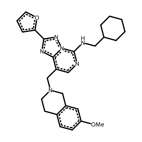 COc1ccc2c(c1)CN(Cc1cnc(NCC3CCCCC3)n3nc(-c4ccco4)nc13)CC2